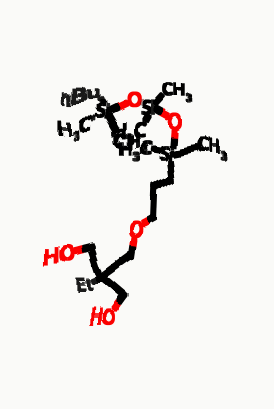 CCCC[Si](C)(C)O[Si](C)(C)O[Si](C)(C)CCCOCC(CC)(CO)CO